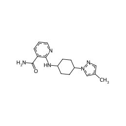 Cc1cnn(C2CCC(Nc3ncccc3C(N)=O)CC2)c1